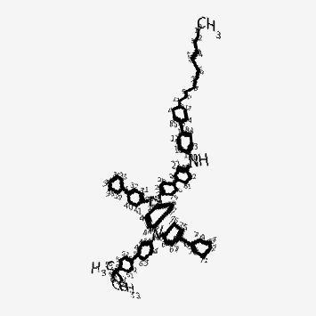 CCCCCCCCCCCCc1ccc(-c2ccc(NC3=CC=C(C4=CC=C(N(C5=CC=C(C6=CC=CCC6)CC5)c5ccc(N(C6=CC=C(C7=CC=C(C(C)(CC)CC)CC7)CC6)c6ccc(-c7ccccc7)cc6)cc5)CC4)CC3)cc2)cc1